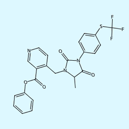 CC1C(=O)N(c2ccc(SC(F)(F)F)cc2)C(=O)N1Cc1ccncc1C(=O)Oc1ccccc1